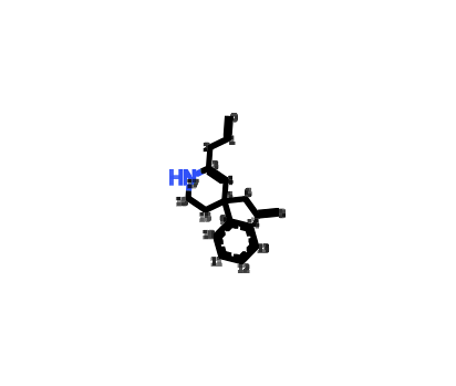 C=CCC1=CC(CC=C)(c2ccccc2)CCN1